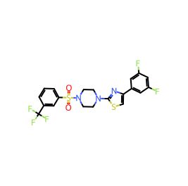 O=S(=O)(c1cccc(C(F)(F)F)c1)N1CCN(c2nc(-c3cc(F)cc(F)c3)cs2)CC1